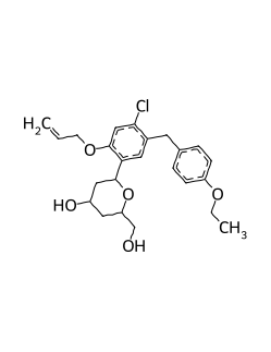 C=CCOc1cc(Cl)c(Cc2ccc(OCC)cc2)cc1C1CC(O)CC(CO)O1